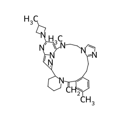 C=C1c2cc(C)ccc2CCc2nccn2CCN(C)c2cc(N3CC(C)C3)nc3cc(nn23)C2CCCCN12